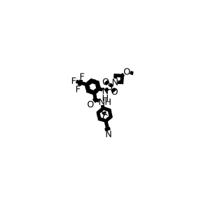 COC1CN(S(=O)(=O)Nc2ccc(C(F)(F)F)cc2C(=O)NC23CCC(C#N)(CC2)CC3)C1